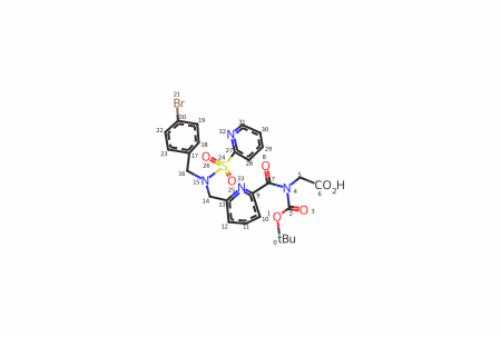 CC(C)(C)OC(=O)N(CC(=O)O)C(=O)c1cccc(CN(Cc2ccc(Br)cc2)S(=O)(=O)c2ccccn2)n1